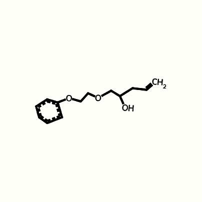 C=CCC(O)COCCOc1ccccc1